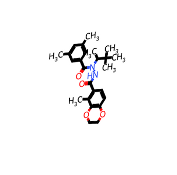 Cc1cc(C)cc(C(=O)N(NC(=O)c2ccc3c(c2C)OCCO3)C(C)C(C)(C)C)c1